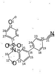 COc1ccc(S(=O)(=O)N2CCOc3ccc(-c4ccc(C#N)cc4)cc32)cc1